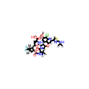 CCC1C[C@]1(NC(=O)[C@@H]1CC(Oc2cc(-c3csc(NC(C)C)n3)nc3c(Cl)c(OC)ccc23)CN1C(=O)[C@@H](NC(=O)O[C@H]1C[C@@H]2[C@H](C1)C2(F)F)C(C)(C)C)C(=O)O